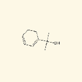 CC(C)(O)C1=CC=CCC1